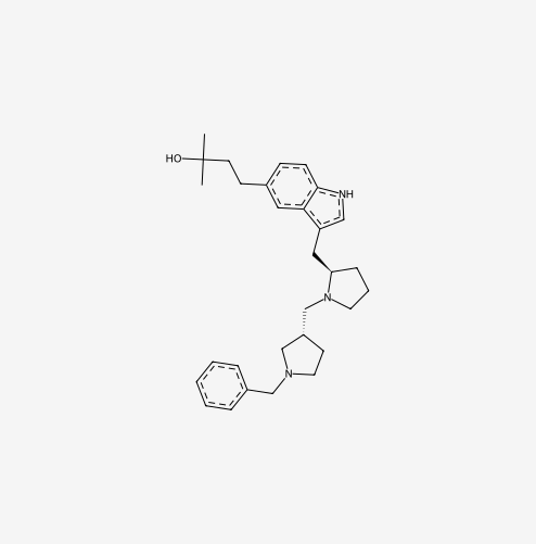 CC(C)(O)CCc1ccc2[nH]cc(C[C@H]3CCCN3C[C@@H]3CCN(Cc4ccccc4)C3)c2c1